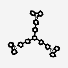 c1ccc2c(c1)c1ccccc1n2-c1ccc(-c2ccc(-c3cc(-c4ccc(-c5ccc(-n6c7ccccc7c7ccccc76)cc5)cc4)cc(-c4ccc(-c5ccc(-n6c7ccccc7c7ccccc76)cc5)cc4)c3)cc2)cc1